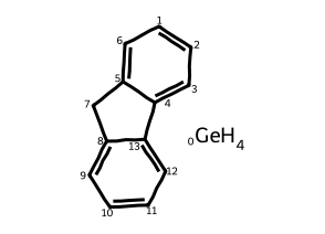 [GeH4].c1ccc2c(c1)Cc1ccccc1-2